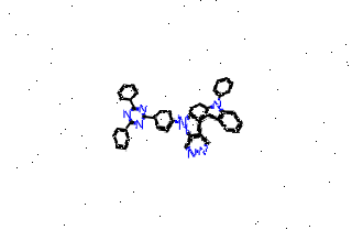 c1ccc(-c2nc(-c3ccccc3)nc(-c3ccc(-n4c5cnncc5c5c6c7ccccc7n(-c7ccccc7)c6ccc54)cc3)n2)cc1